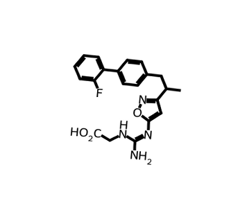 CC(Cc1ccc(-c2ccccc2F)cc1)c1cc(N=C(N)NCC(=O)O)on1